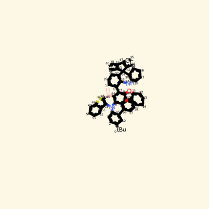 CC(C)(C)c1ccc(N2c3cc4c(oc5ccccc54)c(-c4cccc5c4Nc4ccccc4C54c5ccccc5-c5ccccc54)c3Bc3sc4ccccc4c32)c(-c2ccccc2)c1